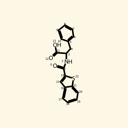 O=C(NC(Cc1ccccc1)C(=O)O)c1cc2ccccc2s1